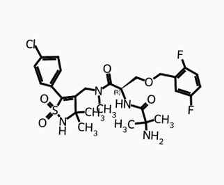 CN(CC1=C(c2ccc(Cl)cc2)S(=O)(=O)NC1(C)C)C(=O)[C@@H](COCc1cc(F)ccc1F)NC(=O)C(C)(C)N